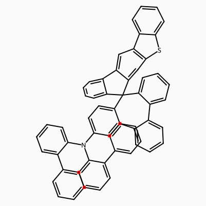 c1ccc(-c2ccccc2N(c2ccc3c(c2)-c2ccccc2-c2ccccc2C32c3ccccc3-c3cc4c(cc32)sc2ccccc24)c2ccccc2-c2ccccc2)cc1